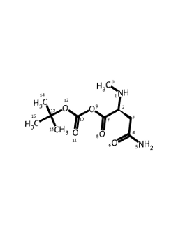 CN[C@@H](CC(N)=O)C(=O)OC(=O)OC(C)(C)C